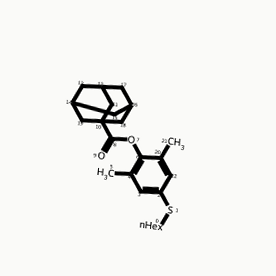 CCCCCCSc1cc(C)c(OC(=O)C23CC4CC(CC(C4)C2)C3)c(C)c1